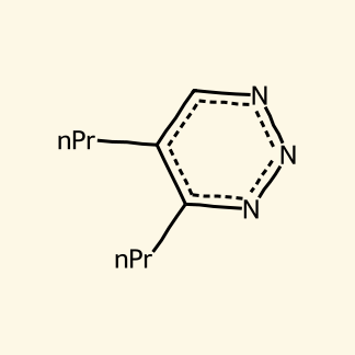 CCCc1cnnnc1CCC